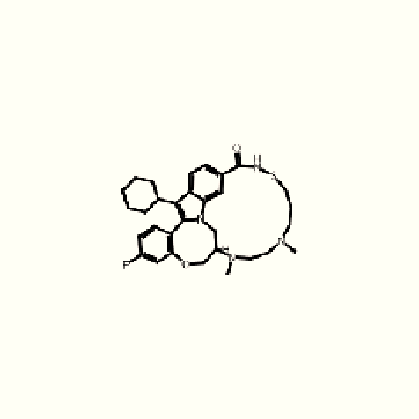 CN1CCCSNC(=O)c2ccc3c(C4CCCCC4)c4n(c3c2)C[C@H](COc2cc(F)ccc2-4)N(C)CC1